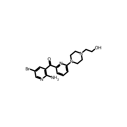 Nc1ncc(Br)cc1C(=O)c1cccc(N2CCN(CCO)CC2)n1